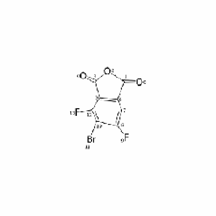 O=C1OC(=O)c2c1cc(F)c(Br)c2F